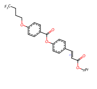 CCCOC(=O)/C=C/c1ccc(OC(=O)c2ccc(OCCCC(F)(F)F)cc2)cc1